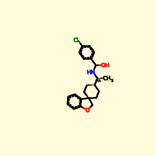 C[C@@H](NC(O)c1ccc(Cl)cc1)[C@H]1CC[C@@]2(CC1)COc1ccccc12